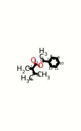 C=C(C(=O)OC(C)c1ccccc1)C(C)C